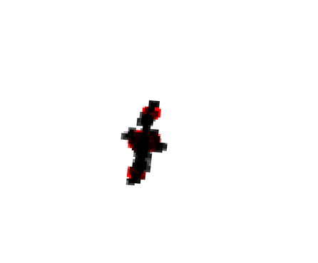 C=CC(=O)Oc1ccc(C#Cc2c(OC(=O)C(=C)C)c(OC)c(-c3ccc(-c4ccc(OC(=O)C=C)cc4)cc3)c(OC(=O)C(=C)C)c2OC)cc1